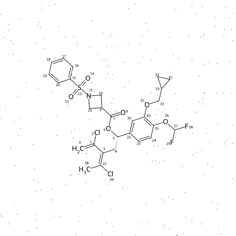 C=C(Cl)/C(C[C@H](OC(=O)C1CN(S(=O)(=O)c2ccccc2)C1)c1ccc(OC(F)F)c(OCC2CC2)c1)=C(\C)Cl